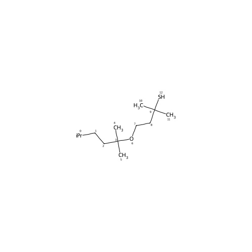 CC(C)CCC(C)(C)OCCC(C)(C)S